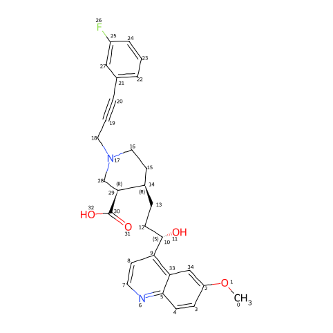 COc1ccc2nccc([C@@H](O)CC[C@@H]3CCN(CC#Cc4cccc(F)c4)C[C@@H]3C(=O)O)c2c1